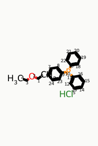 CCOCC.Cl.c1ccc(P(c2ccccc2)c2ccccc2)cc1